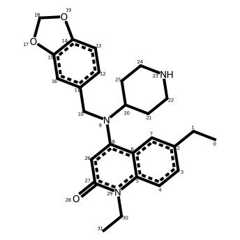 CCc1ccc2c(c1)c(N(Cc1ccc3c(c1)OCO3)C1CCNCC1)cc(=O)n2CC